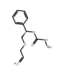 C=CCOC[C@H](OC(=O)NC(C)(C)C)c1ccccc1